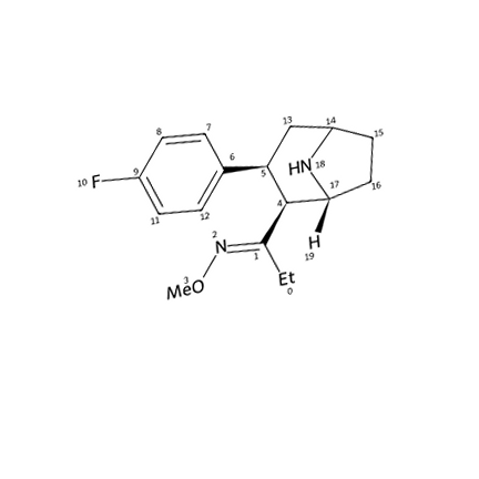 CCC(=NOC)[C@H]1[C@@H](c2ccc(F)cc2)CC2CC[C@H]1N2